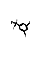 FC(F)(F)c1cc(I)cc(I)c1